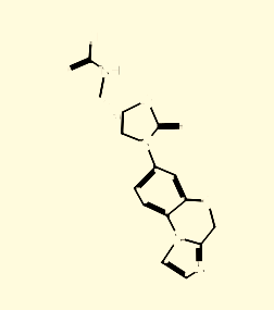 CC(=O)NC[C@H]1CN(c2ccc3c(c2)OCc2nccn2-3)C(=O)O1